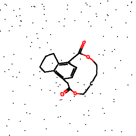 O=C1OCCCCOC(=O)c2ccc1c1c2CCCC1